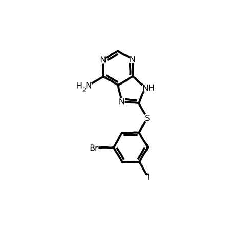 Nc1ncnc2[nH]c(Sc3cc(Br)cc(I)c3)nc12